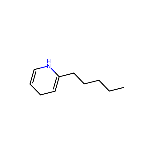 CCCCCC1=CCC=CN1